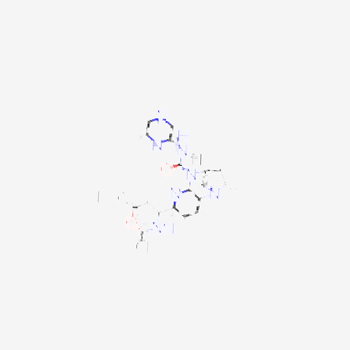 C[C@@H]1CC(c2ccc3c(n2)N(C(=O)Nc2cnccn2)[C@H]2CCN3C2)N[C@@H](C)O1